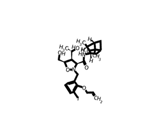 C=CCOc1c(I)cccc1CN1O[C@@H](CO)[C@@H]([C@H](C)O)[C@H]1C(=O)N[C@H]1CC2C[C@@H]([C@@H]1C)C2(C)C